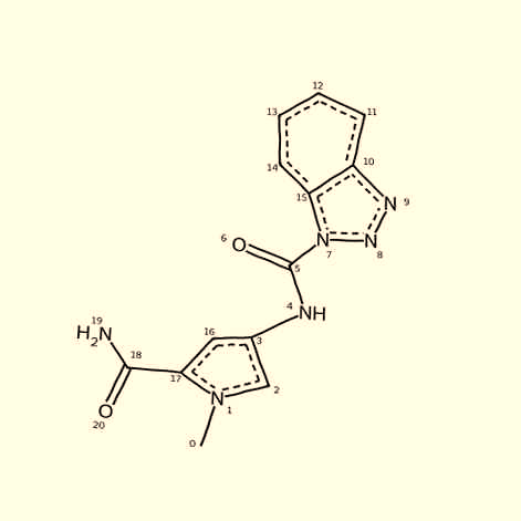 Cn1cc(NC(=O)n2nnc3ccccc32)cc1C(N)=O